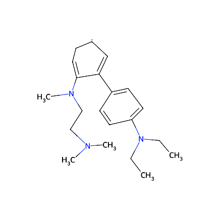 CCN(CC)c1ccc(C2=C[CH]CC=C2N(C)CCN(C)C)cc1